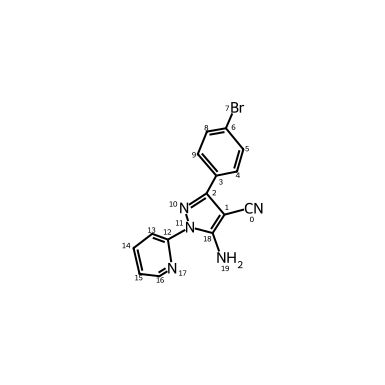 N#Cc1c(-c2ccc(Br)cc2)nn(-c2ccccn2)c1N